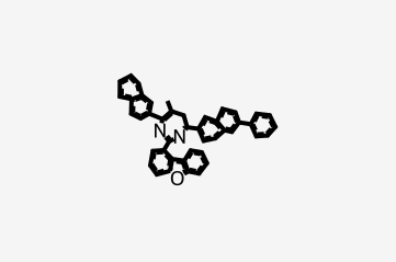 CC1=C(c2ccc3ccccc3c2)N=C(c2cccc3oc4ccccc4c23)N=C(c2ccc3cc(-c4ccccc4)ccc3c2)C1